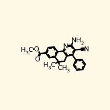 COC(=O)c1ccc2c(c1)C(C)(C)Cc1c-2nc(N)c(C#N)c1-c1ccccc1